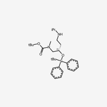 CC(C)NCC[C@@H](CN(C)C(=O)OC(C)(C)C)O[Si](c1ccccc1)(c1ccccc1)C(C)(C)C